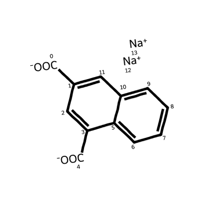 O=C([O-])c1cc(C(=O)[O-])c2ccccc2c1.[Na+].[Na+]